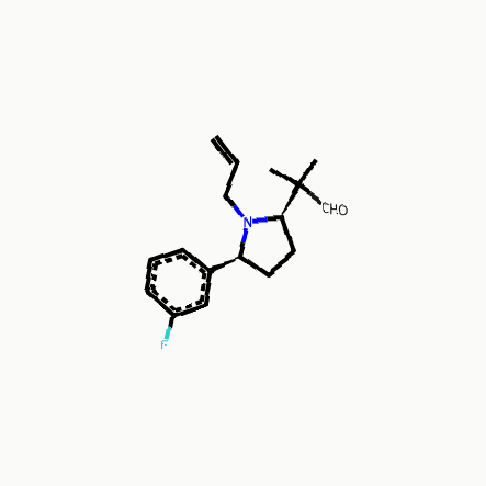 C=CCN1[C@H](c2cccc(F)c2)CC[C@@H]1C(C)(C)C=O